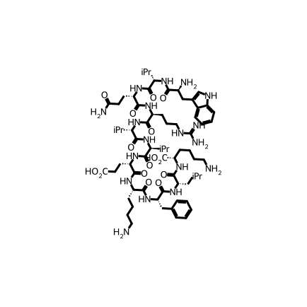 CC(C)C[C@H](NC(=O)[C@H](Cc1ccccc1)NC(=O)[C@H](CCCCN)NC(=O)[C@H](CCC(=O)O)NC(=O)[C@@H](NC(=O)[C@@H](NC(=O)[C@H](CCCNC(=N)N)NC(=O)[C@H](CCC(N)=O)NC(=O)[C@@H](NC(=O)[C@@H](N)Cc1c[nH]c2ccccc12)C(C)C)C(C)C)C(C)C)C(=O)N[C@@H](CCCCN)C(=O)O